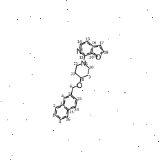 c1ccc2cc(COC3CCN(c4nccc5ccoc45)CC3)ccc2c1